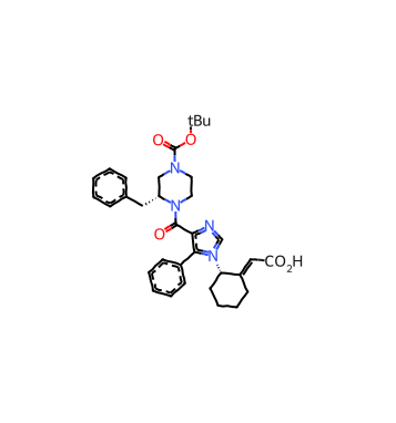 CC(C)(C)OC(=O)N1CCN(C(=O)c2ncn([C@H]3CCCC/C3=C\C(=O)O)c2-c2ccccc2)[C@H](Cc2ccccc2)C1